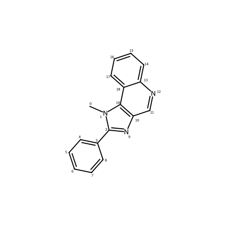 Cn1c(-c2ccccc2)nc2cnc3ccccc3c21